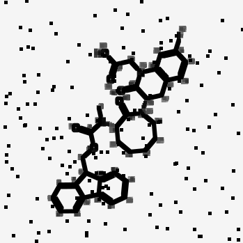 CN(C(=O)OCC1c2ccccc2-c2ccccc21)[C@H]1CCCCCN([C@H]2Cc3ccc(F)cc3N(CC(=O)O)C2=O)C1=O